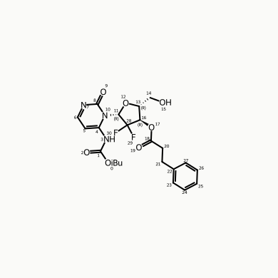 CC(C)COC(=O)Nc1ccnc(=O)n1[C@@H]1O[C@H](CO)[C@@H](OC(=O)CCc2ccccc2)C1(F)F